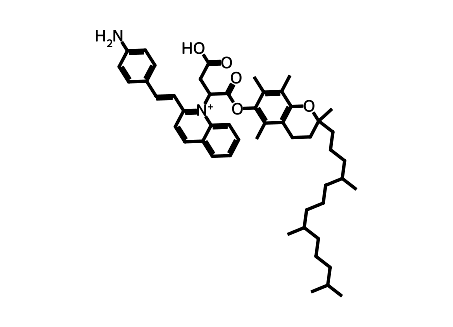 Cc1c(C)c2c(c(C)c1OC(=O)C(CC(=O)O)[n+]1c(/C=C/c3ccc(N)cc3)ccc3ccccc31)CCC(C)(CCCC(C)CCCC(C)CCCC(C)C)O2